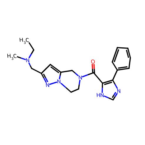 CCN(C)Cc1cc2n(n1)CCN(C(=O)c1[nH]cnc1-c1ccccc1)C2